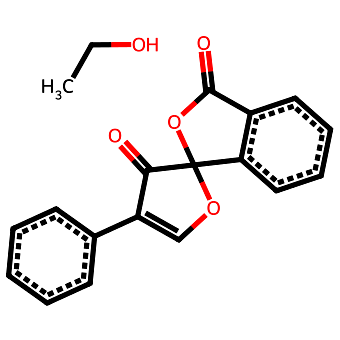 CCO.O=C1OC2(OC=C(c3ccccc3)C2=O)c2ccccc21